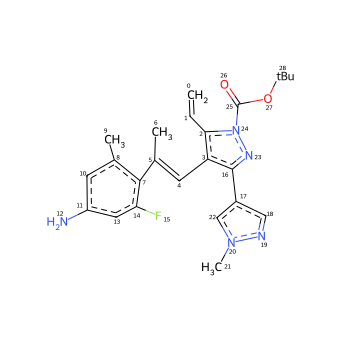 C=Cc1c(/C=C(\C)c2c(C)cc(N)cc2F)c(-c2cnn(C)c2)nn1C(=O)OC(C)(C)C